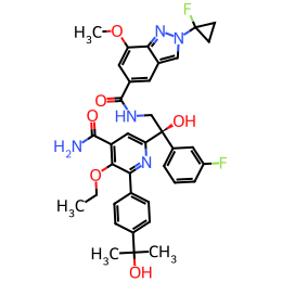 CCOc1c(C(N)=O)cc([C@](O)(CNC(=O)c2cc(OC)c3nn(C4(F)CC4)cc3c2)c2cccc(F)c2)nc1-c1ccc(C(C)(C)O)cc1